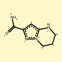 NC(=O)c1cc2n(n1)CCCN2